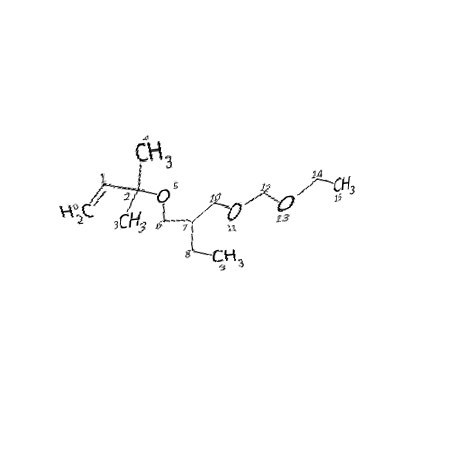 C=CC(C)(C)OCC(CC)COCOCC